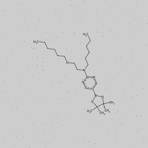 CCCCCCOCCN(CCCCCC)c1ncc(B2OC(C)(C)C(C)(C)O2)cn1